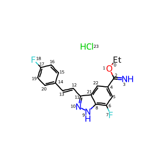 CCOC(=N)c1cc(F)c2[nH]nc(/C=C/c3ccc(F)cc3)c2c1.Cl